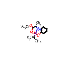 COC(=O)[C@H](C)NP(=O)(Oc1ccccc1)C(C)C